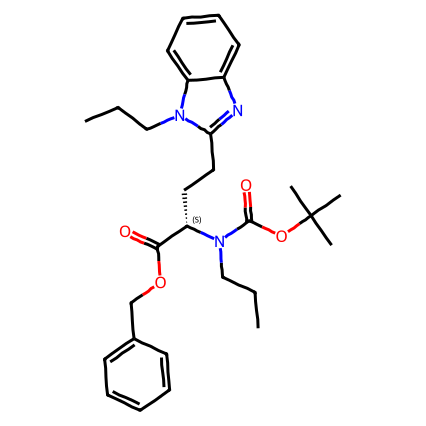 CCCN(C(=O)OC(C)(C)C)[C@@H](CCc1nc2ccccc2n1CCC)C(=O)OCc1ccccc1